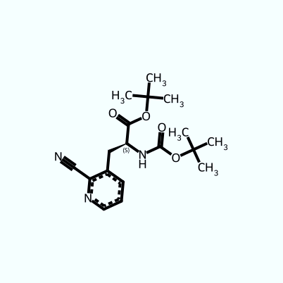 CC(C)(C)OC(=O)N[C@@H](Cc1cccnc1C#N)C(=O)OC(C)(C)C